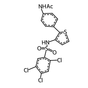 CC(=O)Nc1ccc(-c2sccc2NS(=O)(=O)c2cc(Cl)c(Cl)cc2Cl)cc1